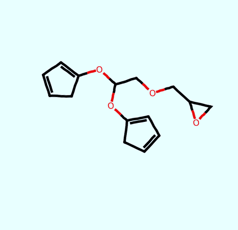 C1=CCC(OC(COCC2CO2)OC2=CC=CC2)=C1